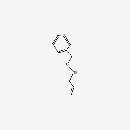 O=CCNOCc1ccccc1